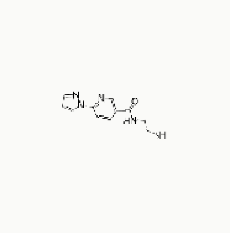 O=C(NCCS)c1ccc(-n2cccn2)nc1